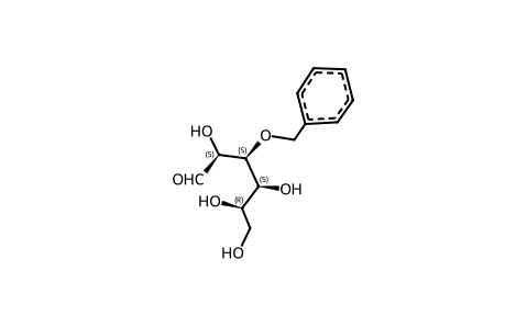 O=C[C@@H](O)[C@@H](OCc1ccccc1)[C@@H](O)[C@H](O)CO